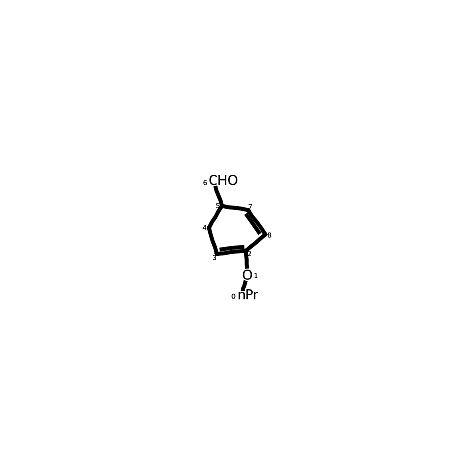 CCCOC1=CCC(C=O)C=C1